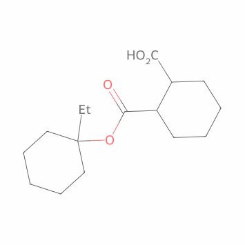 CCC1(OC(=O)C2CCCCC2C(=O)O)CCCCC1